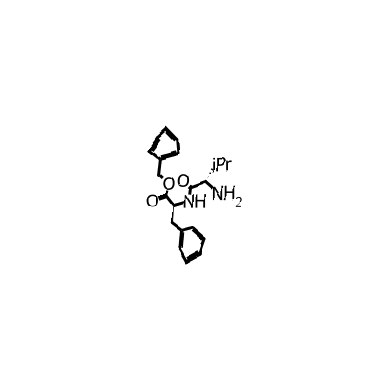 CC(C)[C@H](N)C(=O)N[C@@H](Cc1ccccc1)C(=O)OCc1ccccc1